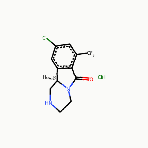 Cl.O=C1c2c(cc(Cl)cc2C(F)(F)F)[C@@H]2CNCCN12